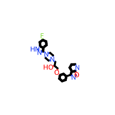 OC(COc1cccc(-c2noc3ncccc23)c1)CN1CCN(c2n[nH]c3cc(F)ccc23)CC1